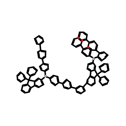 c1ccc(-c2ccc(-c3ccc(N(c4ccc(-c5ccc(-c6cccc(-c7ccc8c(c7)-c7ccc(N(c9ccc(-c%10ccccc%10)cc9)c9ccccc9-c9ccc(-c%10ccccc%10)cc9)cc7C8(c7ccccc7)c7ccccc7)c6)cc5)cc4)c4ccc5c(c4)C(c4ccccc4)(c4ccccc4)c4ccccc4-5)cc3)cc2)cc1